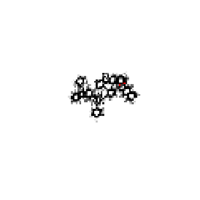 c1ccc(-c2nc(-c3ccc(-n4c5ccccc5c5cc6ccccc6cc54)c(-c4c5ccccc5cc5oc6ccccc6c45)c3)nc(-c3ccc4c(c3)c3ccccc3n4-c3ccccc3)n2)cc1